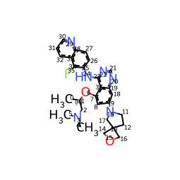 C[C@H](CN(C)C)Oc1cc(N2CCC3(COC3)C2)cc2ncnc(Nc3ccc4ncccc4c3F)c12